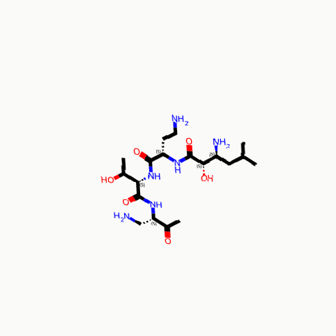 CC(=O)[C@H](CN)NC(=O)[C@@H](NC(=O)[C@H](CCN)NC(=O)[C@@H](O)[C@@H](N)CC(C)C)C(C)O